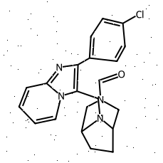 O=CN1CC2CCC(C1)N2Cc1c(-c2ccc(Cl)cc2)nc2ccccn12